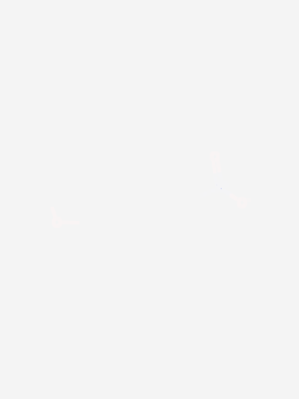 COC1Cc2ccc([N+](=O)[O-])cc2C1